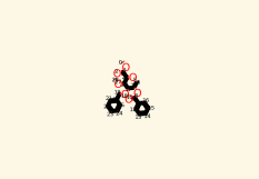 COC(=O)C1OCC(OC(=O)c2ccccc2)C(OCc2ccccc2)C1OC